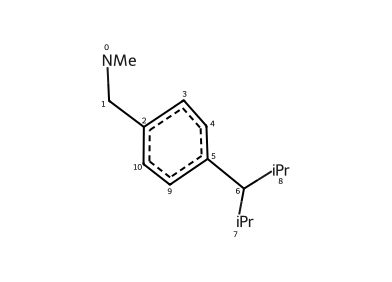 CNCc1ccc(C(C(C)C)C(C)C)cc1